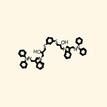 OC(CSc1cccc(SCC(O)Cn2cc(/C=N/N(c3ccccc3)c3ccccc3)c3ccccc32)c1)Cn1cc(/C=N/N(c2ccccc2)c2ccccc2)c2ccccc21